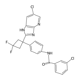 O=C(Nc1ccc(C2(c3nc4ncc(Cl)cc4[nH]3)CC(F)(F)C2)cc1)c1cccc(Cl)c1